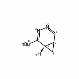 CCCCC1=NN=CC2C[C@H]12